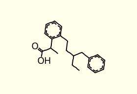 CCC(CCc1ccccc1C(C)C(=O)O)Cc1ccccc1